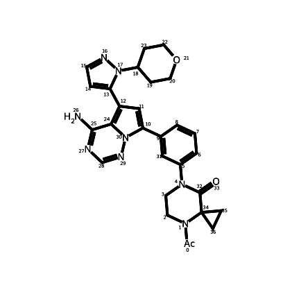 CC(=O)N1CCN(c2cccc(-c3cc(-c4ccnn4C4CCOCC4)c4c(N)ncnn34)c2)C(=O)C12CC2